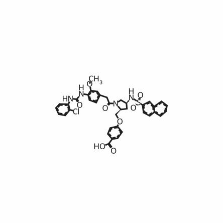 COc1cc(CC(=O)N2C[C@@H](NS(=O)(=O)c3ccc4ccccc4c3)C[C@H]2COc2ccc(C(=O)O)cc2)ccc1NC(=O)Nc1ccccc1Cl